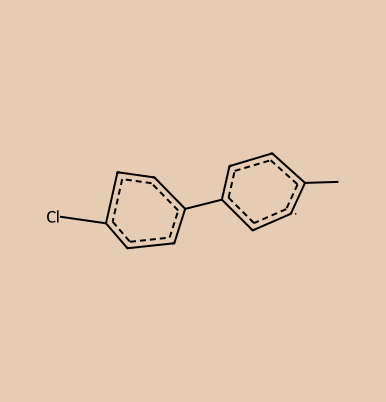 Cc1[c]cc(-c2ccc(Cl)cc2)cc1